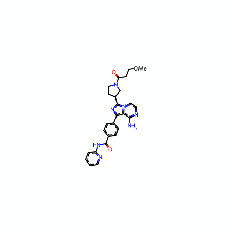 COCCC(=O)N1CCC(c2nc(-c3ccc(C(=O)Nc4ccccn4)cc3)c3c(N)nccn23)C1